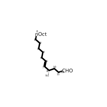 CCCCCCCCCCCCC/C=C/[C@@H](C)CCC=O